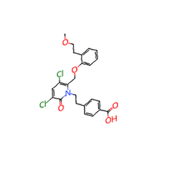 COCCc1ccccc1OCc1c(Cl)cc(Cl)c(=O)n1CCc1ccc(C(=O)O)cc1